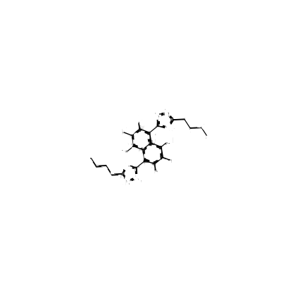 CCCCc1nnc(-c2c(Cl)c(Cl)c(Cl)c3c(-c4nnc(CCCC)s4)c(Cl)c(Cl)c(Cl)c23)s1